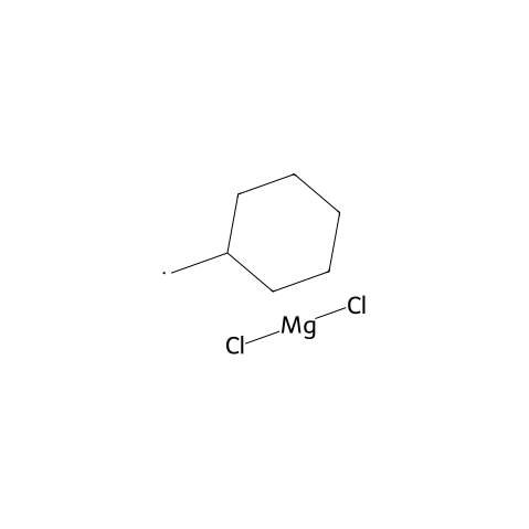 [CH2]C1CCCCC1.[Cl][Mg][Cl]